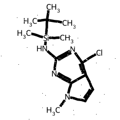 Cn1ccc2c(Cl)nc(N[Si](C)(C)C(C)(C)C)nc21